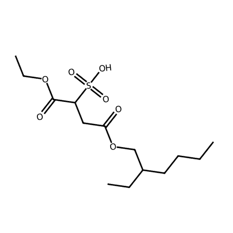 CCCCC(CC)COC(=O)CC(C(=O)OCC)S(=O)(=O)O